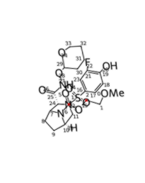 COCCOC(=O)N1C2CC[C@@H]1CN(S(=O)(=O)c1ccc(O)c(F)c1)[C@H]2C(=O)NOC1CCCCO1